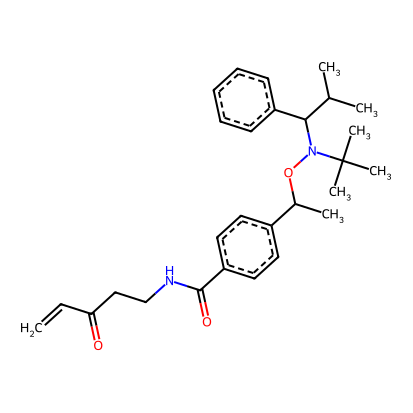 C=CC(=O)CCNC(=O)c1ccc(C(C)ON(C(c2ccccc2)C(C)C)C(C)(C)C)cc1